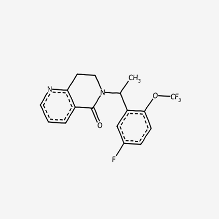 CC(c1cc(F)ccc1OC(F)(F)F)N1CCc2ncccc2C1=O